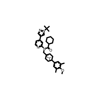 COc1c(C)cc(C23CCC(CN(C(=O)C4CCCCC4)c4cc(-c5cnn(C(C)(C)C)c5)ccn4)(CC2)CC3)cc1C